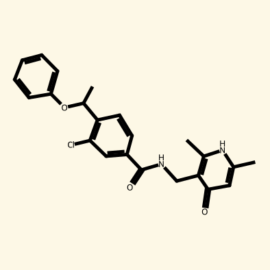 Cc1cc(=O)c(CNC(=O)c2ccc(C(C)Oc3ccccc3)c(Cl)c2)c(C)[nH]1